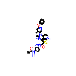 C=CC(=O)NC1CC[C@@H](NC(=O)c2sc3nccc4c3c2[nH]c(=C)n4-c2cnc(Oc3ccccc3)cc2C)C1